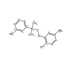 CC(C)(C)c1ccc(Cl)c(OCC(C)(C)c2cccc(O)c2)c1